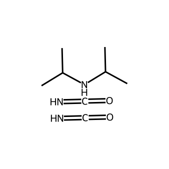 CC(C)NC(C)C.N=C=O.N=C=O